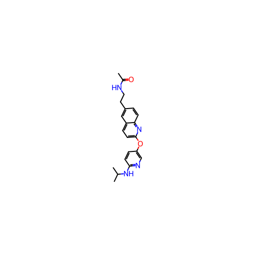 CC(=O)NCCc1ccc2nc(Oc3ccc(NC(C)C)nc3)ccc2c1